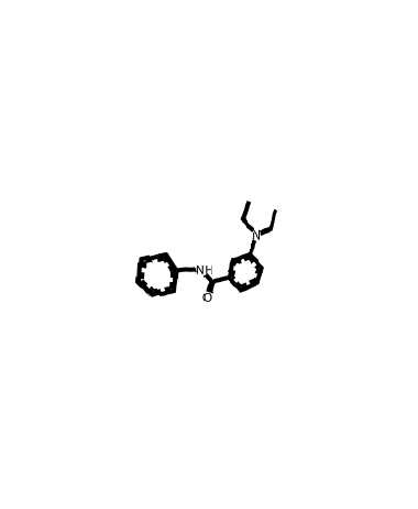 CCN(CC)c1cccc(C(=O)Nc2ccccc2)c1